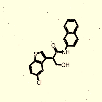 O=C(Nc1ccc2ccccc2c1)C(CO)c1csc2ccc(Cl)cc12